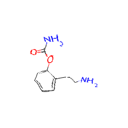 NCCc1ccccc1OC(N)=O